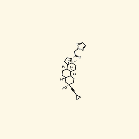 C[C@]12CC[C@H]3[C@@H](CC[C@H]4C[C@](O)(C#CC5CC5)CC[C@@H]43)[C@@H]1CC[C@@H]2C(=O)Cn1nccn1